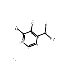 FC(F)c1ccnc(Cl)c1Cl